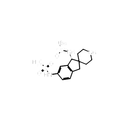 CC(C)(C)[S@@+]([O-])N[C@@H]1c2cc(NS(C)(=O)=O)ccc2CC12CCNCC2